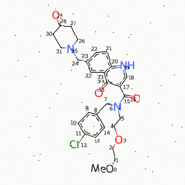 COCCOCCN(Cc1ccc(Cl)cc1)C(=O)c1c[nH]c2ccc(CN3CCC(=O)CC3)cc2c1=O